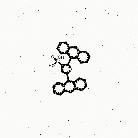 O=P(O)(O)c1cc(-c2c3ccccc3cc3ccccc23)sc1-c1c2ccccc2cc2ccccc12